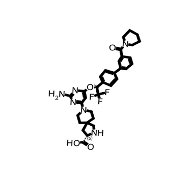 Nc1nc(O[C@H](c2ccc(-c3cccc(C(=O)N4CCCCC4)c3)cc2)C(F)(F)F)cc(N2CCC3(CC2)CN[C@H](C(=O)O)C3)n1